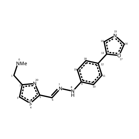 CNCc1csc(C=NNc2ccc(-c3cnco3)cc2)n1